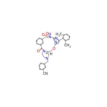 Cc1cccc(C)c1-c1cc2nc(n1)NS(=O)(=O)c1cccc(c1)C(=O)N1CCN(Cc3cccc(C#N)c3)C[C@@H]1CO2